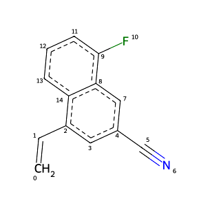 C=Cc1cc(C#N)cc2c(F)cccc12